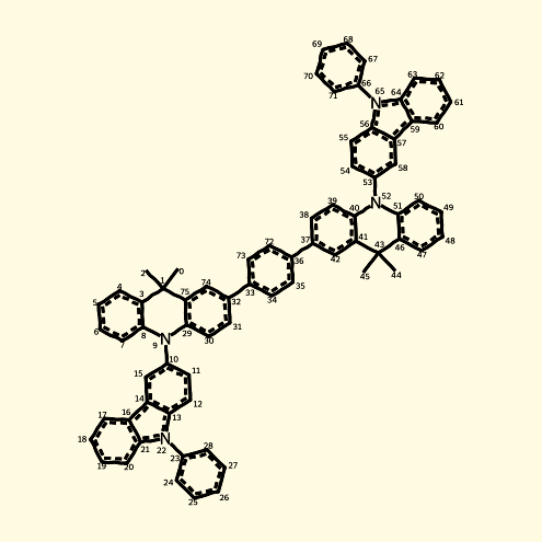 CC1(C)c2ccccc2N(c2ccc3c(c2)c2ccccc2n3-c2ccccc2)c2ccc(-c3ccc(-c4ccc5c(c4)C(C)(C)c4ccccc4N5c4ccc5c(c4)c4ccccc4n5-c4ccccc4)cc3)cc21